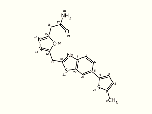 Cc1ccc(-c2ccc3nc(Cc4nnc(CC(N)=O)o4)sc3c2)s1